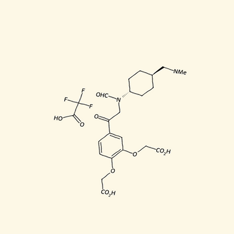 CNC[C@H]1CC[C@H](N(C=O)CC(=O)c2ccc(OCC(=O)O)c(OCC(=O)O)c2)CC1.O=C(O)C(F)(F)F